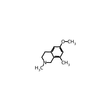 COc1cc(C)c2c(c1)CCN(C)C2